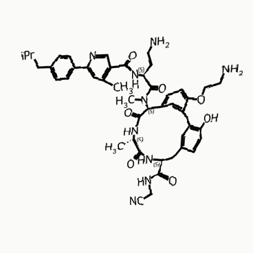 Cc1cc(-c2ccc(CC(C)C)cc2)ncc1C(=O)N[C@@H](CCN)C(=O)N(C)[C@@H]1C(=O)N[C@@H](C)C(=O)N[C@H](C(=O)NCC#N)Cc2ccc(O)c(c2)-c2cc1ccc2OCCN